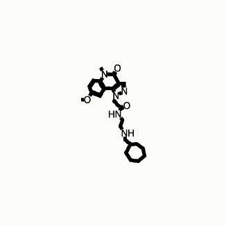 COc1ccc2c(c1)c1c(cnn1CC(=O)NCCNCC1CCCCCC1)c(=O)n2C